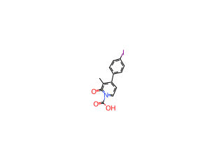 Cc1c(-c2ccc(I)cc2)ccn(C(=O)O)c1=O